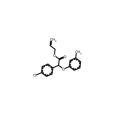 C=CCOC(=O)C(Oc1cccc(C)c1)c1ccc(Cl)cc1